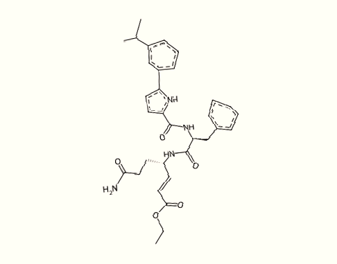 CCOC(=O)/C=C/[C@H](CCC(N)=O)NC(=O)[C@H](Cc1ccccc1)NC(=O)c1ccc(-c2cccc(C(C)C)c2)[nH]1